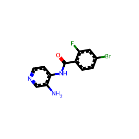 Nc1cnccc1NC(=O)c1ccc(Br)cc1F